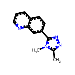 Cc1nnc(-c2ccc3cccnc3c2)n1C